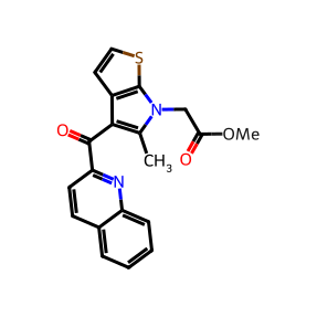 COC(=O)Cn1c(C)c(C(=O)c2ccc3ccccc3n2)c2ccsc21